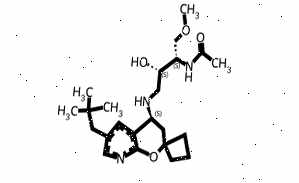 COC[C@H](NC(C)=O)[C@@H](O)CN[C@H]1CC2(CCC2)Oc2ncc(CC(C)(C)C)cc21